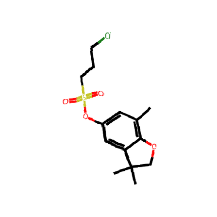 Cc1cc(OS(=O)(=O)CCCCl)cc2c1OCC2(C)C